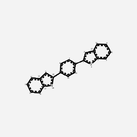 c1ccc2sc(-c3ccc(-c4cc5ccccc5s4)cc3)cc2c1